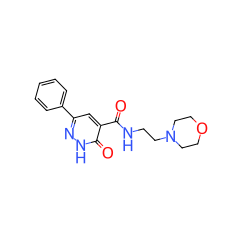 O=C(NCCN1CCOCC1)c1cc(-c2ccccc2)n[nH]c1=O